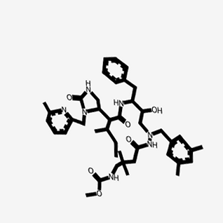 CCC(C)C(C(=O)NC(Cc1ccccc1)C(O)CN(Cc1cc(C)cc(C)c1)NC(=O)CC(C)(C)CNC(=O)OC)C1CNC(=O)N1Cc1cccc(C)n1